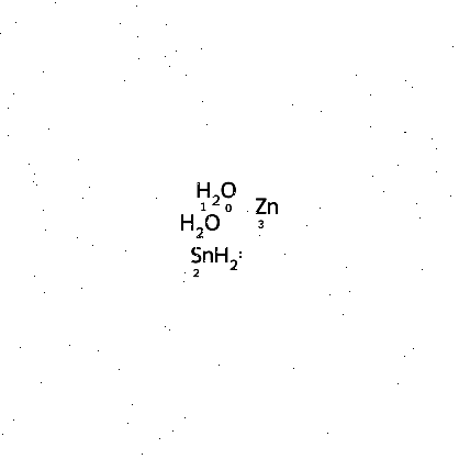 O.O.[SnH2].[Zn]